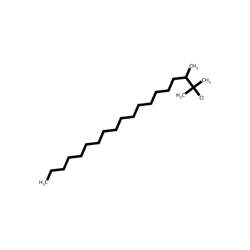 CCCCCCCCCCCCCCCCC(C)C(C)(C)Cl